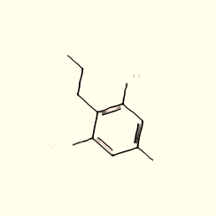 COc1cc(C=O)cc(OC)c1CCC(=O)O